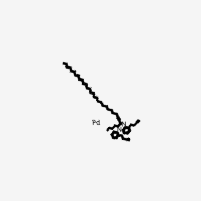 C#CCCc1ccccc1N=C(C#CCCCCCCCCCCCCCCCCCCCCCCCCCC)C(CCCC)=Nc1ccccc1CCC#C.[Pd]